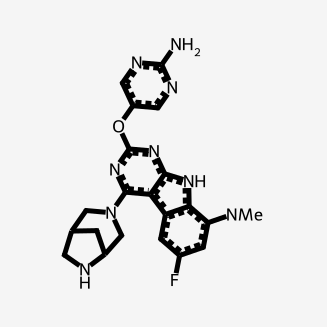 CNc1cc(F)cc2c1[nH]c1nc(Oc3cnc(N)nc3)nc(N3CC4CNC(C4)C3)c12